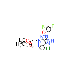 CC(C)(C)OC(=O)CCCNc1nc(Oc2ccc(F)cc2F)nc2[nH]nc(-c3ccccc3Cl)c12